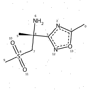 Cc1nc([C@@](C)(N)CS(C)(=O)=O)no1